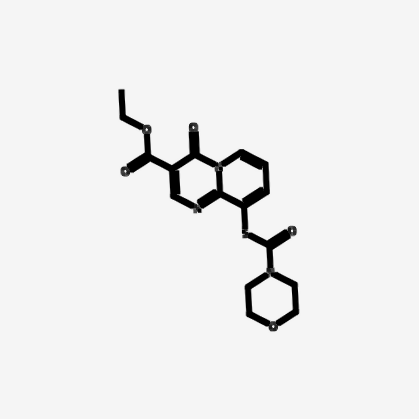 CCOC(=O)c1cnc2c(SC(=O)N3CCOCC3)cccn2c1=O